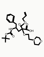 C=CCOC(=O)C(CC(Cc1ccccc1)NC(=O)OC(C)(C)C)(OCCN1CCOCC1)C(=O)O